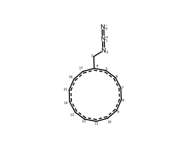 [N-]=[N+]=NCc1ccccccccccccc1